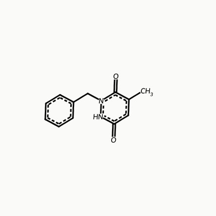 Cc1cc(=O)[nH]n(Cc2ccccc2)c1=O